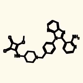 COc1c(NC2CCN(Cc3ccc(-n4c(-c5cccnc5N)nc5cccnc54)cc3)CC2)c(=O)c1=O